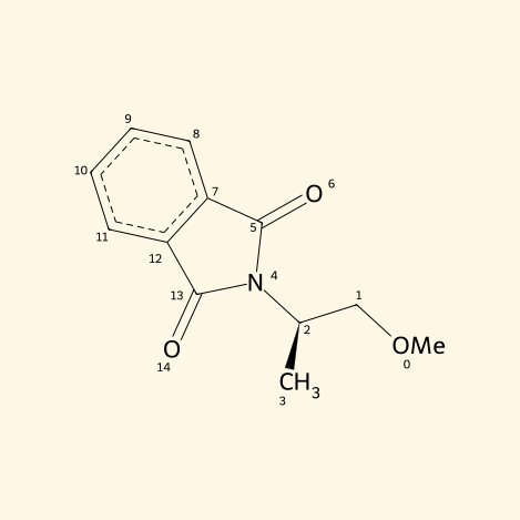 COC[C@@H](C)N1C(=O)c2ccccc2C1=O